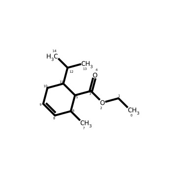 CCOC(=O)C1C(C)C=CCC1C(C)C